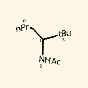 CCCC(NC(C)=O)C(C)(C)C